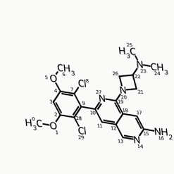 COc1cc(OC)c(Cl)c(-c2cc3cnc(N)cc3c(N3CC(N(C)C)C3)n2)c1Cl